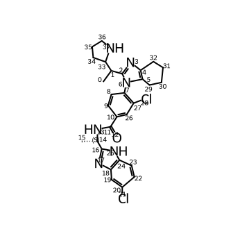 CC(c1nc2c(n1-c1ccc(C(=O)N[C@@H](C)c3nc4cc(Cl)ccc4[nH]3)cc1Cl)CCCC2)C1CCCN1